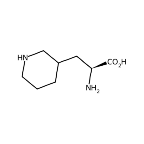 N[C@@H](CC1CCCNC1)C(=O)O